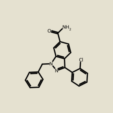 NC(=O)c1ccc2c(-c3ccccc3Cl)nn(Cc3ccccc3)c2c1